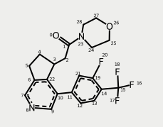 O=C(CC1CCc2cncc(-c3ccc(C(F)(F)F)c(F)c3)c21)N1CCOCC1